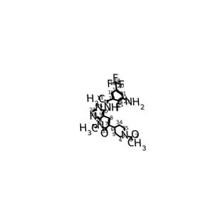 CC(=O)N1CCC(c2cc3c(N[C@H](C)c4cc(C(F)(F)F)cc(N)c4F)ncnc3n(C)c2=O)CC1